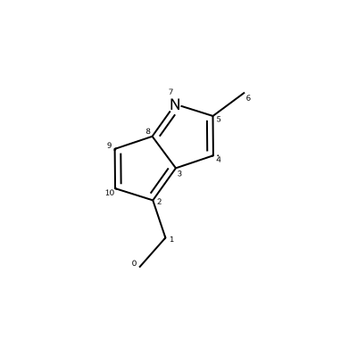 CCC1=C2[C]=C(C)N=C2C=C1